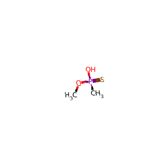 CO[P@](C)(O)=S